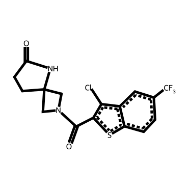 O=C1CCC2(CN(C(=O)c3sc4ccc(C(F)(F)F)cc4c3Cl)C2)N1